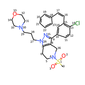 CS(=O)(=O)N1CCc2c(c(-c3ccc(Cl)c(/C=C\c4ccccc4)c3)nn2CCCN2CCOCC2)C1